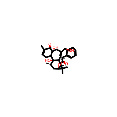 CC1=CCC2[C@@]3(O)[C@H](C)C[C@]4(OC(=O)Cc5ccccc5)[C@H]([C@@H]3C=C(CO)C[C@]2(O)C1=O)C4(C)C